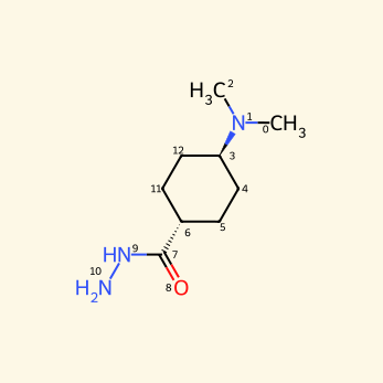 CN(C)[C@H]1CC[C@H](C(=O)NN)CC1